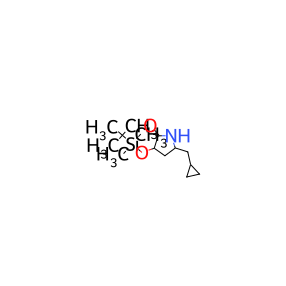 CC(C)(C)[Si](C)(C)OC1CC(CC2CC2)NC1=O